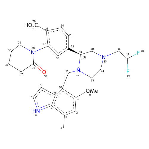 COc1cc(C)c2[nH]ccc2c1CN1CCN(CC(F)F)C[C@@H]1c1ccc(C(=O)O)c(N2CCCCC2=O)c1